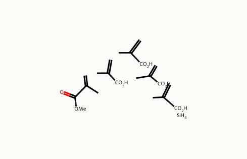 C=C(C)C(=O)O.C=C(C)C(=O)O.C=C(C)C(=O)O.C=C(C)C(=O)O.C=C(C)C(=O)OC.[SiH4]